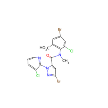 CN(C(=O)c1cc(Br)nn1-c1ncccc1Cl)c1c(Cl)cc(Br)cc1C(=O)O